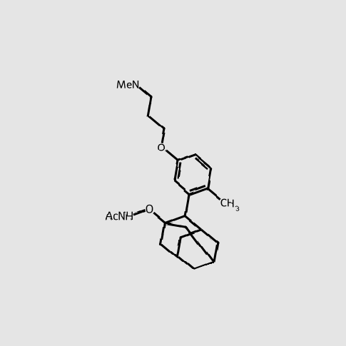 CNCCCOc1ccc(C)c(C2C3CC4CC(C3)CC2(ONC(C)=O)C4)c1